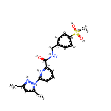 Cc1cc(C)n(-c2cccc(C(=O)NCc3ccc(S(C)(=O)=O)cc3)n2)n1